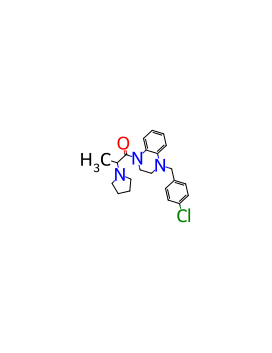 CC(C(=O)N1CCN(Cc2ccc(Cl)cc2)c2ccccc21)N1CCCC1